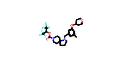 Cc1cc(CN2CCCC23CCN(C(=O)OC(C(F)(F)F)C(F)(F)F)CC3)cc(OC2CCOCC2)c1